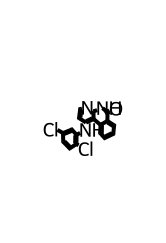 O=c1[nH]c2nccc(Nc3cc(Cl)ccc3Cl)c2c2ccccc12